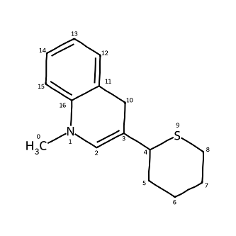 CN1C=C(C2CCCCS2)Cc2ccccc21